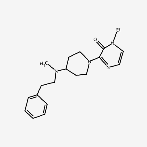 CCn1ccnc(N2CCC(N(C)CCc3ccccc3)CC2)c1=O